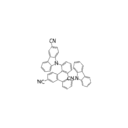 N#Cc1ccc(-c2c(C#N)cccc2-n2c3ccccc3c3cc(C#N)ccc32)c(-c2cccc(-n3c4ccccc4c4ccccc43)c2)c1